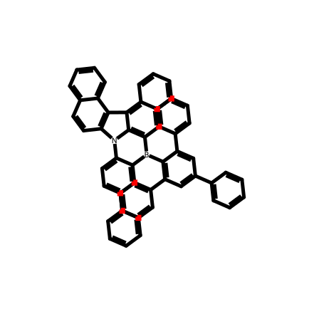 c1ccc(-c2ccc3c(c2)B(c2c(-c4ccccc4)cc(-c4ccccc4)cc2-c2ccccc2)c2cc4ccccc4c4c5c6ccccc6ccc5n-3c24)cc1